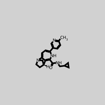 Cc1ccc(C2=CC=C3C(=C(C(=O)NCC4CC4)N2)[C@@H]2CCN3C2)cn1